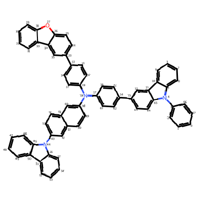 c1ccc(-n2c3ccccc3c3cc(-c4ccc(N(c5ccc(-c6ccc7oc8ccccc8c7c6)cc5)c5ccc6cc(-n7c8ccccc8c8ccccc87)ccc6c5)cc4)ccc32)cc1